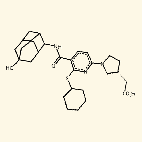 O=C(O)C[C@H]1CCN(c2ccc(C(=O)NC3C4CC5CC3CC(O)(C5)C4)c(SC3CCCCC3)n2)C1